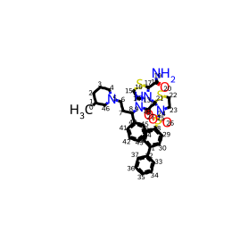 CC1CCCN(CCC(NC(=O)C2(N3CCSC3C(N)=O)SCCN2S(=O)(=O)c2ccc(-c3ccccc3)cc2)c2ccccc2)C1